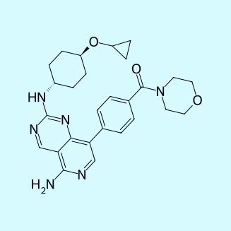 Nc1ncc(-c2ccc(C(=O)N3CCOCC3)cc2)c2nc(N[C@H]3CC[C@H](OC4CC4)CC3)ncc12